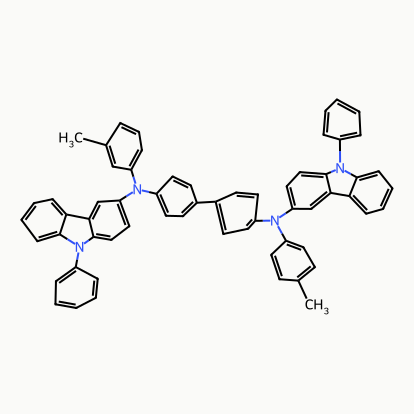 Cc1ccc(N(c2ccc(-c3ccc(N(c4cccc(C)c4)c4ccc5c(c4)c4ccccc4n5-c4ccccc4)cc3)cc2)c2ccc3c(c2)c2ccccc2n3-c2ccccc2)cc1